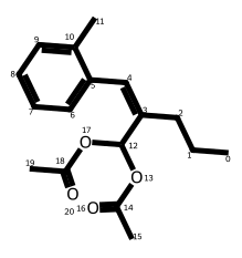 CCCC(=Cc1ccccc1C)C(OC(C)=O)OC(C)=O